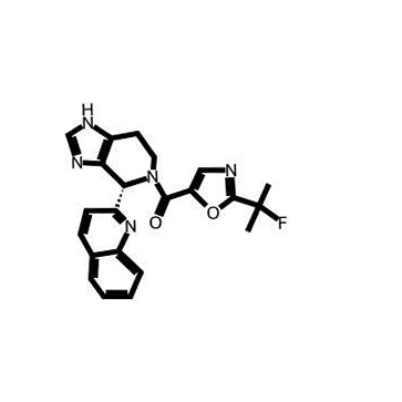 CC(C)(F)c1ncc(C(=O)N2CCc3[nH]cnc3[C@H]2c2ccc3ccccc3n2)o1